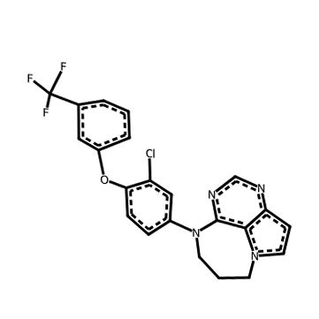 FC(F)(F)c1cccc(Oc2ccc(N3CCCn4ccc5ncnc3c54)cc2Cl)c1